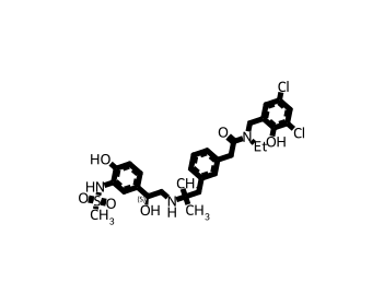 CCN(Cc1cc(Cl)cc(Cl)c1O)C(=O)Cc1cccc(CC(C)(C)NC[C@@H](O)c2ccc(O)c(NS(C)(=O)=O)c2)c1